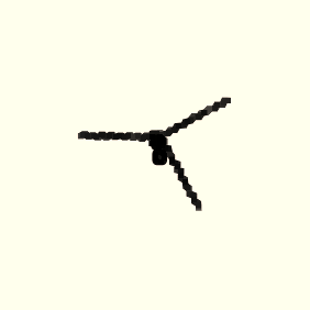 CCCCCCCCCCCCCCCCCC[Si](CCCCCCCCCCCCCCCCCC)(CCCCCCCCCCCCCCCCCC)OCCOC